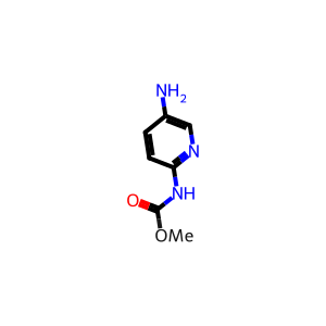 COC(=O)Nc1ccc(N)cn1